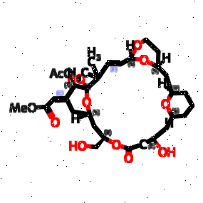 COC(=O)/C=C1\C[C@H]2C[C@H](CO)OC(=O)C[C@H](O)C[C@@H]3CCC[C@H](C[C@@H]4CCO[C@H](/C=C/C(C)(C)[C@](O)(O2)[C@H]1OC(C)=O)O4)O3